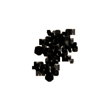 CC[C@H](C)[C@H](NC(=O)[C@H](CC(=O)O)NC(=O)[C@H](C)NC(=O)[C@H](C)NC(C)=O)C(=O)N[C@@H](CO)C(=O)N[C@@H](CCC(N)=O)C(=O)N[C@@H](Cc1c[nH]c2ccccc12)C(=O)N[C@@H](C)C(=O)NCC(=O)N1CCC[C@H]1C(=O)N[C@@H](CC(C)C)C(=O)O